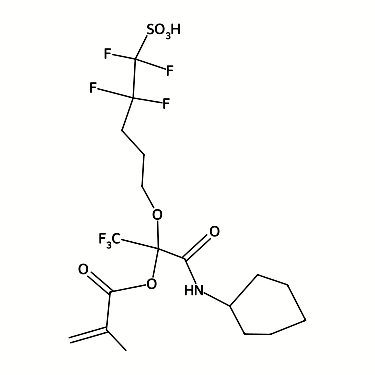 C=C(C)C(=O)OC(OCCCC(F)(F)C(F)(F)S(=O)(=O)O)(C(=O)NC1CCCCC1)C(F)(F)F